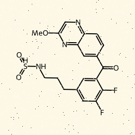 COc1cnc2ccc(C(=O)c3cc(CCCN[SH](=O)=O)cc(F)c3F)cc2n1